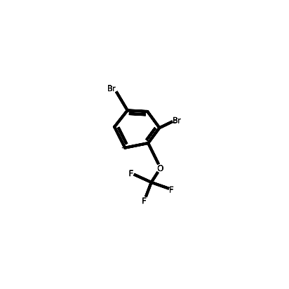 FC(F)(F)Oc1[c]cc(Br)cc1Br